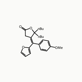 CCCCC1(CCCC)OC(=O)CC1=C(c1ccc(OC)cc1)c1ccco1